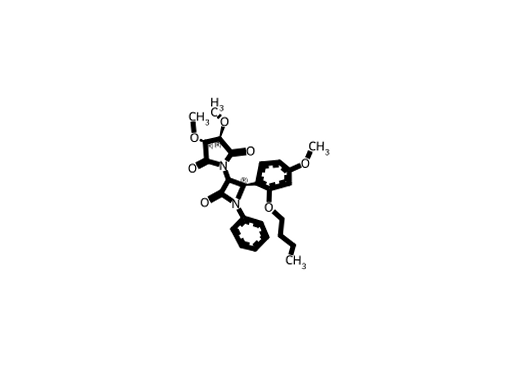 CCCCOc1cc(OC)ccc1[C@@H]1C(N2C(=O)[C@H](OC)[C@@H](OC)C2=O)C(=O)N1c1ccccc1